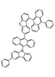 c1ccc(-c2ccc3c(c2)c2ccccc2n3-c2c3ccccc3c(-c3ccc4c(c3)sc3cccc(-c5c6ccccc6c(-c6ccccc6)c6ccccc56)c34)c3ccccc23)cc1